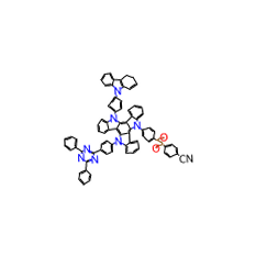 N#Cc1ccc(S(=O)(=O)c2ccc(-n3c4ccccc4c4c5c(c6ccccc6n5-c5ccc(-n6c7c(c8ccccc86)CCC=C7)cc5)c5c(c6ccccc6n5-c5ccc(-c6nc(-c7ccccc7)nc(-c7ccccc7)n6)cc5)c43)cc2)cc1